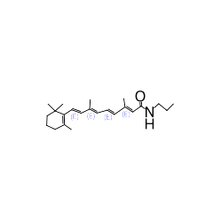 CCCNC(=O)/C=C(C)/C=C/C=C(C)/C=C/C1=C(C)CCCC1(C)C